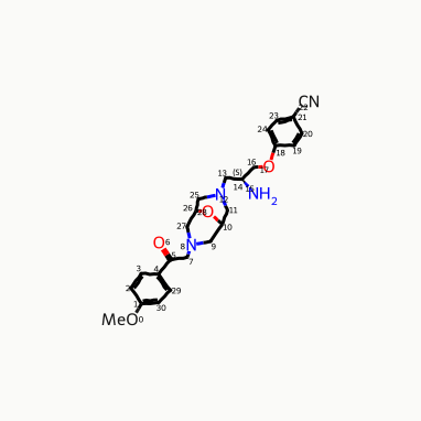 COc1ccc(C(=O)CN2CC3CN(C[C@H](N)COc4ccc(C#N)cc4)CC(C2)O3)cc1